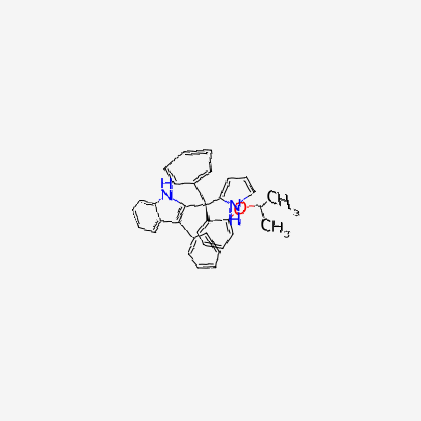 CC(C)Oc1ccccc1[C@@](c1ccccc1)(c1ccc[nH]1)c1[nH]c2ccccc2c1-c1ccccc1